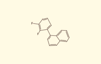 Fc1[c]ccc(-c2cccc3ccccc23)c1F